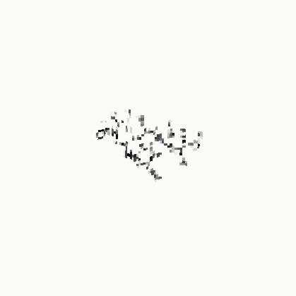 C#Cc1cc(NCCN2C(=O)CCC2CC)cc(/C(C=C(C)C)=C2\N=C(C)C(OC)=CN2C)c1